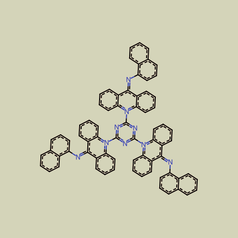 c1ccc2c(N=c3c4ccccc4n(-c4nc(-n5c6ccccc6c(=Nc6cccc7ccccc67)c6ccccc65)nc(-n5c6ccccc6c(=Nc6cccc7ccccc67)c6ccccc65)n4)c4ccccc34)cccc2c1